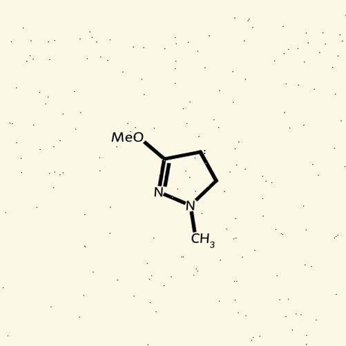 COC1=NN(C)C[C]1